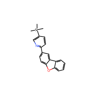 C[Si](C)(C)c1ccc(-c2ccc3oc4ccccc4c3c2)nc1